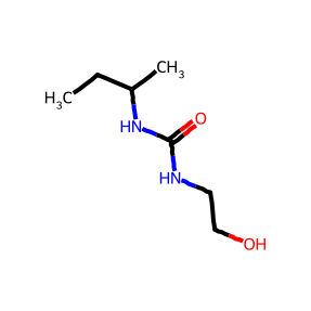 CCC(C)NC(=O)NCCO